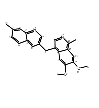 COc1cc2c(Cc3cnc4cc(C)ccc4c3)cnc(C)c2cc1OC